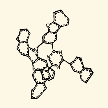 c1ccc2cc(-c3nc(-c4ccc5ccccc5c4)nc(-c4cc5c(cc4-n4c6cc7ccccc7cc6c6ccc7ccccc7c64)oc4ccccc45)n3)ccc2c1